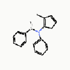 CC1=C(N(c2ccccc2)[SiH](C)c2ccccc2)CC=C1